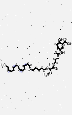 CC/C=C\C/C=C\C/C=C\C/C=C\C/C=C\CCCCOC(OC)C(=O)NCCOC(=O)Nc1ccc(O)c(C(=O)O)c1